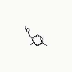 Cc1cc(C)c(COI)cn1